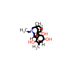 C=C1[C@@H](O)[C@]23C[C@@H]1[C@@H](O)C[C@H]2[C@@]12C4[C@@H]3C[C@@H]1[C@@](C)(CC[C@@H]2O)CN4CC